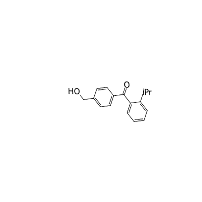 CC(C)c1ccccc1C(=O)c1ccc(CO)cc1